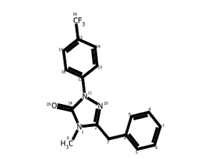 Cn1c(Cc2ccccc2)nn(-c2ccc(C(F)(F)F)cc2)c1=O